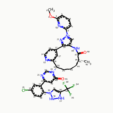 COc1cccc(-n2cc3c(n2)-c2ccnc(c2)[C@@H](n2cnc(-c4cc(Cl)ccc4N4C=C(C(F)(F)F)NN4)cc2=O)CCC[C@@H](C)C(=O)N3)n1